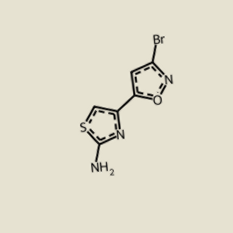 Nc1nc(-c2cc(Br)no2)cs1